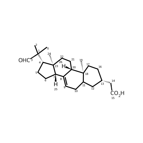 CC(C)(C=O)[C@H]1CC[C@H]2C3=CCC4C[C@@H](CC(=O)O)CC[C@]4(C)[C@H]3CC[C@]12C